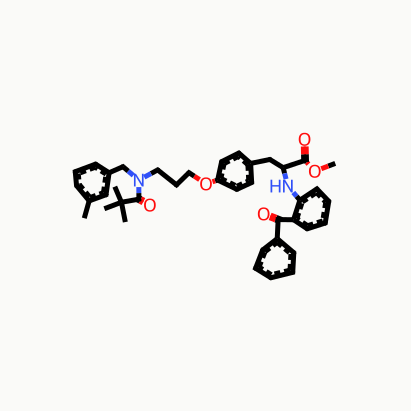 COC(=O)C(Cc1ccc(OCCCN(Cc2cccc(C)c2)C(=O)C(C)(C)C)cc1)Nc1ccccc1C(=O)c1ccccc1